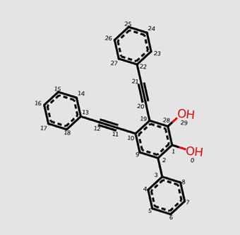 Oc1c(-c2ccccc2)cc(C#Cc2ccccc2)c(C#Cc2ccccc2)c1O